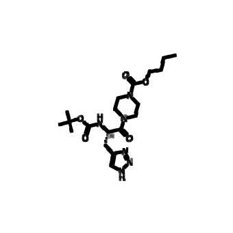 CCCCOC(=O)N1CCN(C(=O)[C@H](Cc2c[nH]nn2)NC(=O)OC(C)(C)C)CC1